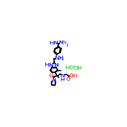 Cc1c(C(C)(CNCC(=O)O)C(=O)N2CCCC2)ccc2[nH]c(CNc3ccc(C(=N)N)cc3)nc12.Cl.Cl